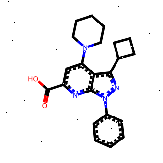 O=C(O)c1cc(N2CCCCC2)c2c(C3CCC3)nn(-c3ccccc3)c2n1